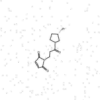 CC(C)[C@H]1CCN(C(=O)CCN2C(=O)C=CC2=O)C1